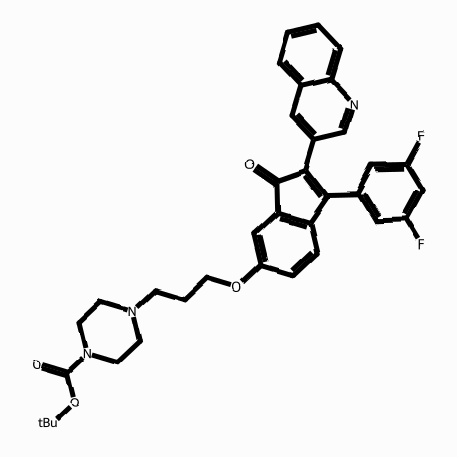 CC(C)(C)OC(=O)N1CCN(CCCOc2ccc3c(c2)C(=O)C(c2cnc4ccccc4c2)=C3c2cc(F)cc(F)c2)CC1